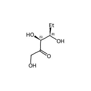 CC[C@@H](O)[C@H](O)C(=O)CO